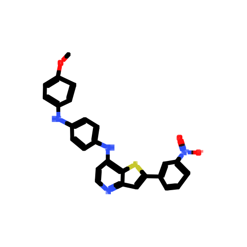 COc1ccc(Nc2ccc(Nc3ccnc4cc(-c5cccc([N+](=O)[O-])c5)sc34)cc2)cc1